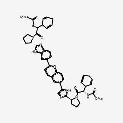 COC(=O)N[C@H](C(=O)N1CCC[C@H]1c1ncc(-c2ccc3nc(-c4ccc5nc([C@@H]6CCCN6C(=O)[C@@H](NC(=O)OC)C6C=CCC=C6)[nH]c5c4)ccc3c2)[nH]1)C1C=CCC=C1